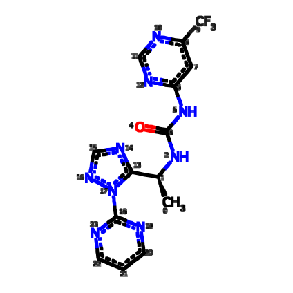 C[C@H](NC(=O)Nc1cc(C(F)(F)F)ncn1)c1ncnn1-c1ncccn1